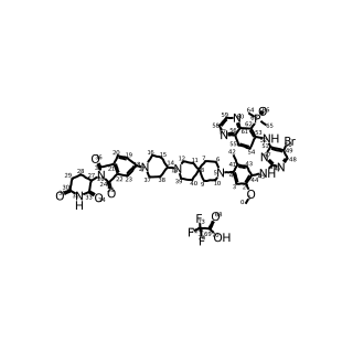 COc1cc(N2CCC3(CC2)CCN(C2CCN(c4ccc5c(c4)C(=O)N(C4CCC(=O)NC4=O)C5=O)CC2)CC3)c(C)cc1Nc1ncc(Br)c(Nc2ccc3nccnc3c2P(C)(C)=O)n1.O=C(O)C(F)(F)F